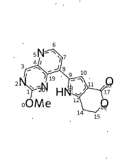 COc1ncc2nccc(-c3cc4c([nH]3)CCOC4=O)c2n1